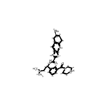 CN(C)CCC(NC(=O)c1nc2cc3c(nc2s1)CC[C@H](C(C)(C)C)C3)c1cccc(C(=O)N2CCNCC2)c1